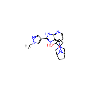 Cn1cc(-c2nc3c(N4CC5CCC(C4)N5C4CCC4O)ccnc3[nH]2)cn1